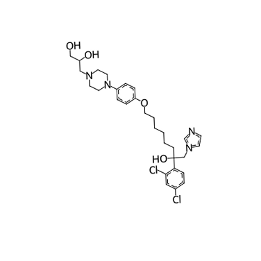 OCC(O)CN1CCN(c2ccc(OCCCCCCC(O)(Cn3ccnc3)c3ccc(Cl)cc3Cl)cc2)CC1